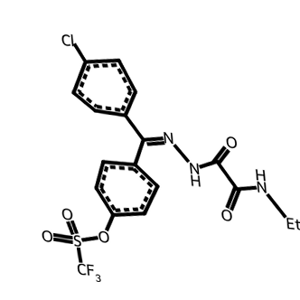 CCNC(=O)C(=O)NN=C(c1ccc(Cl)cc1)c1ccc(OS(=O)(=O)C(F)(F)F)cc1